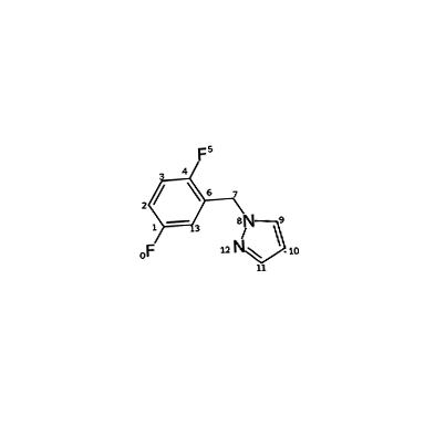 Fc1ccc(F)c(Cn2c[c]cn2)c1